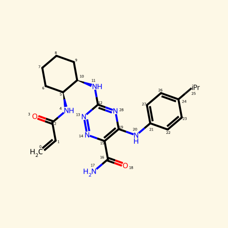 C=CC(=O)N[C@H]1CCCC[C@H]1Nc1nnc(C(N)=O)c(Nc2ccc(C(C)C)cc2)n1